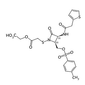 Cc1ccc(S(=O)(=O)OC[C@@H]2[C@H](NC(=O)Cc3cccs3)C(=O)N2SCC(=O)OCC(=O)O)cc1